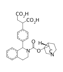 O=C(O)CC(C(=O)O)c1ccc(C2c3ccccc3CCN2C(=O)O[C@H]2CN3CCC2CC3)cc1